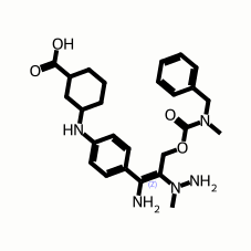 CN(Cc1ccccc1)C(=O)OC/C(=C(/N)c1ccc(NC2CCCC(C(=O)O)C2)cc1)N(C)N